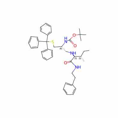 CC[C@H](C)[C@H](NC[C@H](CSC(c1ccccc1)(c1ccccc1)c1ccccc1)NC(=O)OC(C)(C)C)C(=O)NCCc1ccccc1